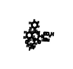 CC(C)(C)N(C(=O)O)[C@@H]1N=C(c2ccccc2)c2cccc3c2N(CC(F)(F)CO3)C1=O